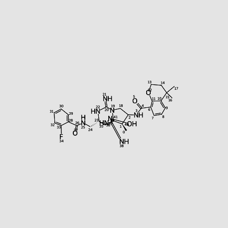 C[C@@H]1C(NC(=O)c2cccc3c2OCCC3(C)C)CN2C(=N)N[C@@H](CNC(=O)c3ccccc3F)C3NC(=N)N(O)C312